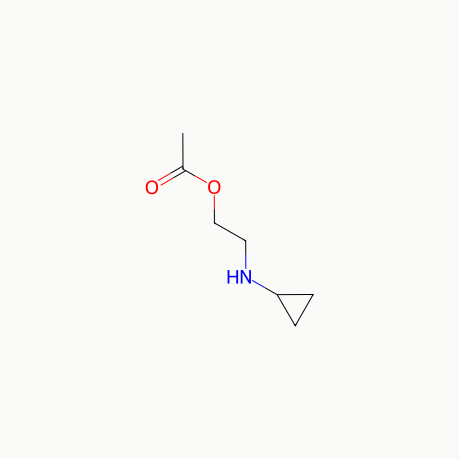 CC(=O)OCCNC1CC1